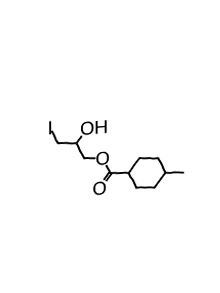 CC1CCC(C(=O)OCC(O)CI)CC1